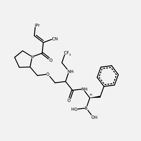 CC(C)C=C(C#N)C(=O)N1CCCC1COCC(NCC(F)(F)F)C(=O)N[C@@H](Cc1ccccc1)B(O)O